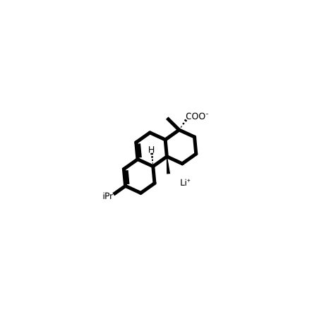 CC(C)C1=CC2=CCC3[C@](C)(C(=O)[O-])CCC[C@]3(C)[C@H]2CC1.[Li+]